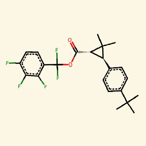 CC(C)(C)c1ccc([C@H]2[C@H](C(=O)OC(F)(F)c3ccc(F)c(F)c3F)C2(C)C)cc1